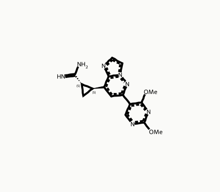 COc1ncc(-c2cc([C@H]3C[C@@H]3C(=N)N)c3nccn3n2)c(OC)n1